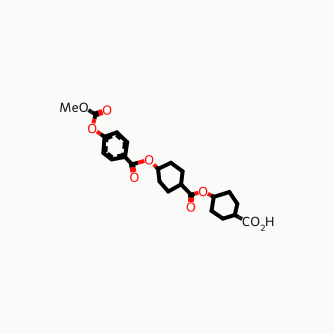 COC(=O)Oc1ccc(C(=O)OC2CCC(C(=O)OC3CCC(C(=O)O)CC3)CC2)cc1